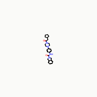 O=C(CC1CCCC1)N1CCN(c2ccc(NC(=O)N3Cc4ccccc4C3)cc2)CC1